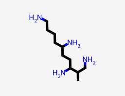 CC(CN)C(N)CCC(N)CCCCN